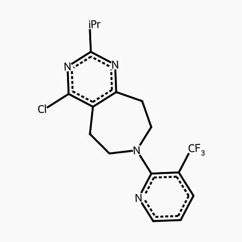 CC(C)c1nc(Cl)c2c(n1)CCN(c1ncccc1C(F)(F)F)CC2